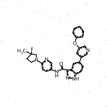 CC1(F)CCN(c2ccc(NC(=O)c3n[nH]c4ccc(-c5cncc(Oc6ccccc6)c5)cc34)cn2)C1